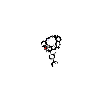 C=CC(=O)N1CCN(c2nc(=O)n3c4nc(c(F)cc24)-c2c(F)cccc2NC/C=C/c2ccnc(C(C)C)c2-3)[C@@H](C)C1